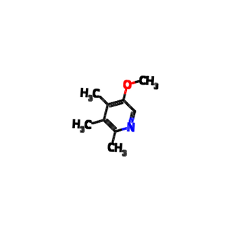 COc1cnc(C)c(C)c1C